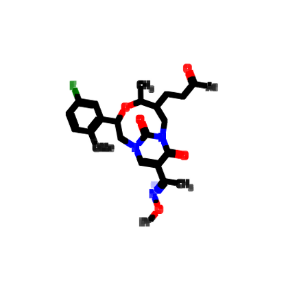 COc1ccc(F)cc1C1Cn2cc(/C(C)=N/OC(C)C)c(=O)n(c2=O)CC(CCC(=O)C(C)=O)C(C)O1